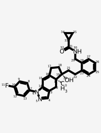 C[C@]12Cc3cnn(-c4ccc(F)cc4)c3C=C1CC[C@@]2(O)CCc1ccccc1CNC(=O)C1CC1